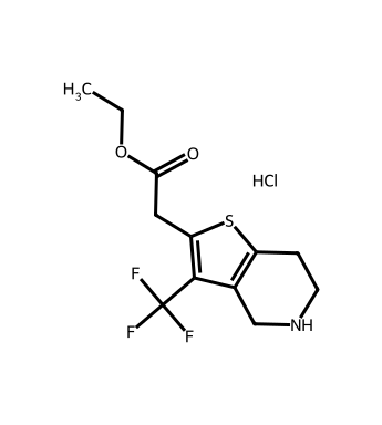 CCOC(=O)Cc1sc2c(c1C(F)(F)F)CNCC2.Cl